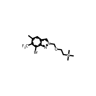 Cc1cc2cn(COCC[Si](C)(C)C)nc2c(Br)c1C(F)(F)F